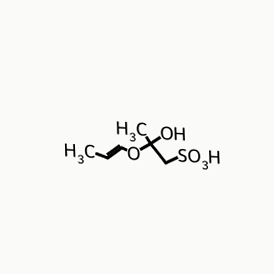 CC=COC(C)(O)CS(=O)(=O)O